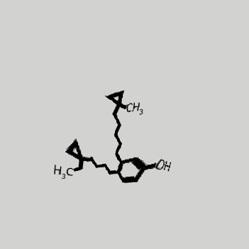 CCC1(CCCCc2ccc(O)cc2CCCCCC2(C)CC2)CC1